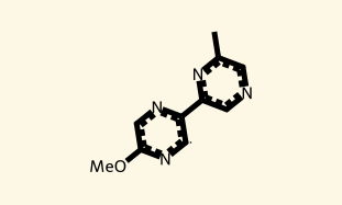 COc1cnc(-c2cncc(C)n2)[c]n1